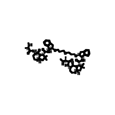 CN[C@@H](C)C(=O)N[C@H]1CCS[C@H]2CC(C)(C)[C@@H](C(=O)N[C@H]3c4ccccc4C[C@H]3OCCCOCCCO[C@@H]3Cc4ccccc4[C@@H]3NC(=O)[C@H]3N4C(=O)[C@@H](NC(=O)[C@@H](C)NC)CCS[C@H]4CC3(C)C)N2C1=O